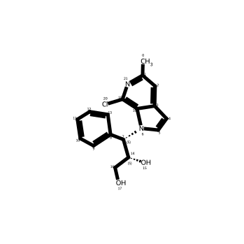 Cc1cc2ccn([C@@H](c3ccccc3)[C@H](O)CO)c2c(Cl)n1